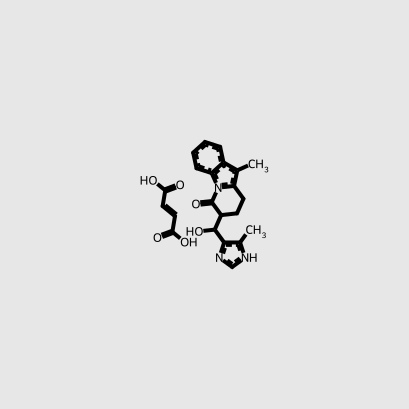 Cc1[nH]cnc1C(O)C1CCc2c(C)c3ccccc3n2C1=O.O=C(O)C=CC(=O)O